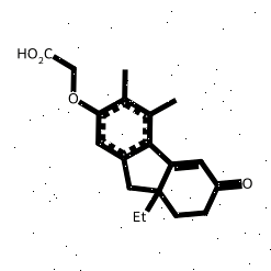 CCC12CCC(=O)C=C1c1c(cc(OCC(=O)O)c(C)c1C)C2